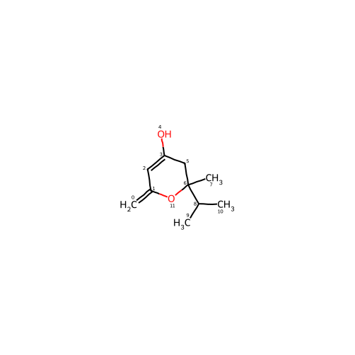 C=C1C=C(O)CC(C)(C(C)C)O1